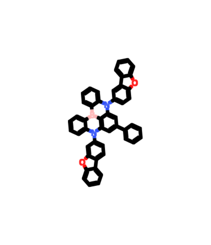 c1ccc(-c2cc3c4c(c2)N(c2ccc5oc6ccccc6c5c2)c2ccccc2B4c2ccccc2N3c2ccc3c(c2)oc2ccccc23)cc1